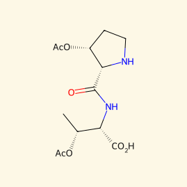 CC(=O)O[C@H](C)[C@H](NC(=O)[C@H]1NCC[C@H]1OC(C)=O)C(=O)O